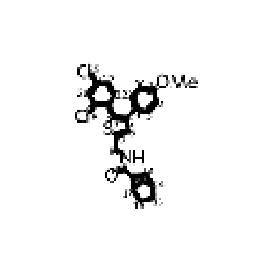 COc1ccc(-c2cc(CNC(=O)C3CC4CCC3C4)sc2-c2ccc(Cl)cc2Cl)cc1